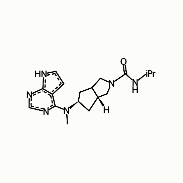 CC(C)NC(=O)N1CC2C[C@H](N(C)c3ncnc4[nH]ccc34)C[C@H]2C1